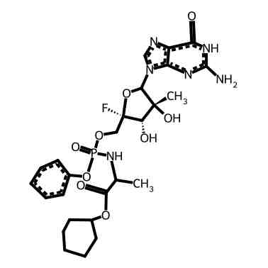 CC(NP(=O)(OC[C@@]1(F)OC(n2cnc3c(=O)[nH]c(N)nc32)[C@](C)(O)[C@@H]1O)Oc1ccccc1)C(=O)OC1CCCCC1